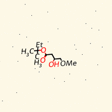 CCC(C)(C)OC(=O)CC(O)COC